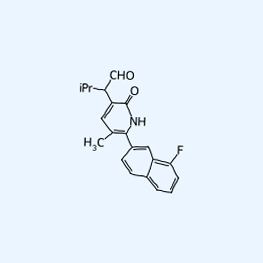 Cc1cc(C(C=O)C(C)C)c(=O)[nH]c1-c1ccc2cccc(F)c2c1